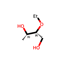 CCO[C@H](CO)[C@H](C)O